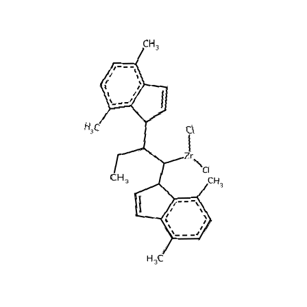 CCC(C1C=Cc2c(C)ccc(C)c21)[CH](C1C=Cc2c(C)ccc(C)c21)[Zr]([Cl])[Cl]